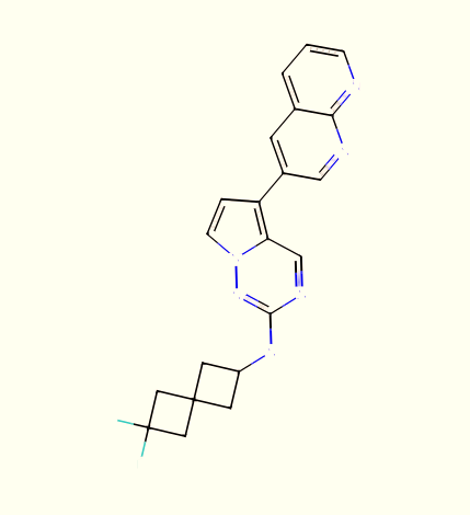 FC1(F)CC2(CC(Nc3ncc4c(-c5cnc6ncccc6c5)ccn4n3)C2)C1